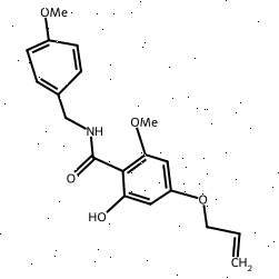 C=CCOc1cc(O)c(C(=O)NCc2ccc(OC)cc2)c(OC)c1